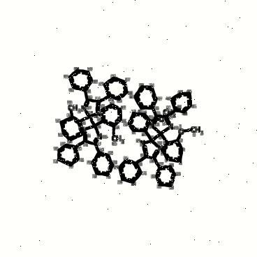 COc1ccccc1C1(C2(c3ccccc3OC)N=C(c3ccccc3)C(c3ccccc3)=N2)N=C(c2ccccc2)C(c2ccccc2)=N1.Cc1ccccc1C1(C2(c3ccccc3C)N=C(c3ccccc3)C(c3ccccc3)=N2)N=C(c2ccccc2)C(c2ccccc2)=N1